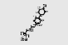 CC(C)(C)OC(=O)CNCCc1ccc(C2CCC(=O)CC2)cc1